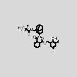 CC(F)(F)C(=O)OCC12CC3CC(C1)CC(OC(=O)c1ccccc1C(=O)OCc1cc(I)cc(I)c1O)(C3)C2